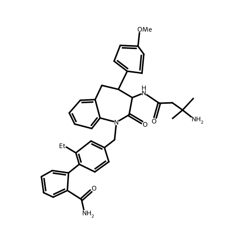 CCc1cc(CN2C(=O)C(NC(=O)CC(C)(C)N)C(c3ccc(OC)cc3)Cc3ccccc32)ccc1-c1ccccc1C(N)=O